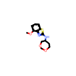 COc1cccc2sc(NC3CCOCOC3)nc12